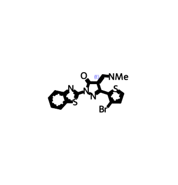 CN/C=C1/C(=O)N(c2nc3ccccc3s2)N=C1c1sccc1Br